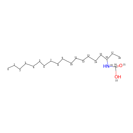 CCCCCCCCCCCCCCCCC(CC)NC(=O)O